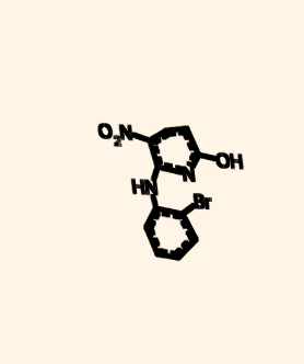 O=[N+]([O-])c1ccc(O)nc1Nc1ccccc1Br